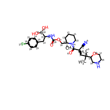 CC(C)(C=C(C#N)C(=O)N1CCCC[C@]1(C)COC(=O)NC(Cc1ccc(F)cc1)B(O)O)C1CNCCO1